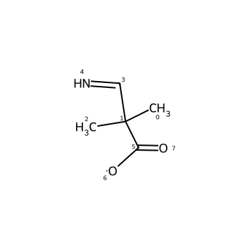 CC(C)(C=N)C([O])=O